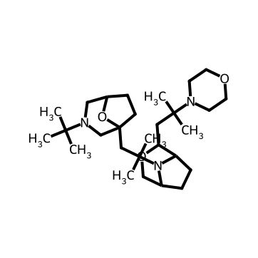 CC(C)(C)N1CC2CCC(CC(C)(C)N3C4CCC3C(CC(C)(C)N3CCOCC3)OC4)(C1)O2